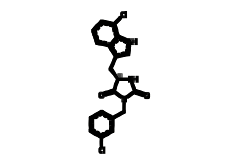 O=C1N[C@H](Cc2c[nH]c3c(Cl)cccc23)C(=O)N1Cc1cccc(Cl)c1